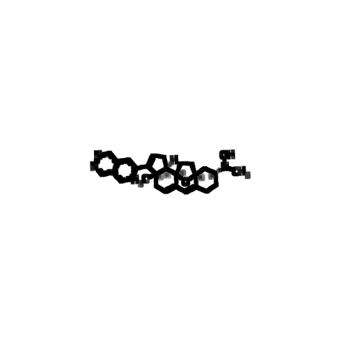 CN(O)[C@@H]1CCC2=CC3=CC[C@]4(C)C(c5ccc6cnncc6c5)=CC[C@H]4[C@@]34CC[C@]2(C1)O4